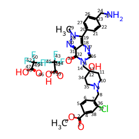 COC(=O)c1ccc(CN2CCC(O)(Cn3cnc4c(-c5ccc(CN)cc5)n(C)nc4c3=O)CC2)c(Cl)c1.O=C(O)C(F)(F)F.O=C(O)C(F)(F)F